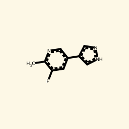 Cc1ncc(-c2cn[nH]c2)cc1F